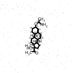 CC(=O)[C@@]1(O)CC[C@H]2[C@@H]3CCC4=CC(OC(C)N)CC[C@]4(C)[C@H]3CC[C@@]21C